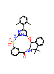 Cc1cccc(C)c1-c1cc2nc(n1)NS(=O)(=O)c1cccc(c1)C(=O)NCC(c1ccccc1C(C)(C)C)O2